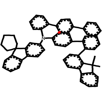 CC1(C)c2ccccc2-c2cccc(-c3ccccc3-c3ccc(N(c4ccc5c(c4)C4(CCCCC4)c4ccccc4-5)c4ccccc4-c4ccc(-c5ccccc5)cc4)cc3)c21